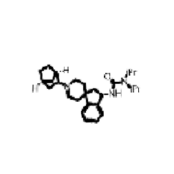 CC(C)N(C(=O)N[C@H]1CC2(CCN(C3C[C@H]4CC[C@@H]3C4)CC2)c2ccccc21)C(C)C